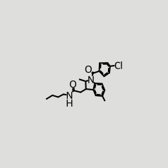 CCCCNC(=O)CC1c2cc(C)ccc2N(C(=O)c2ccc(Cl)cc2)C1C